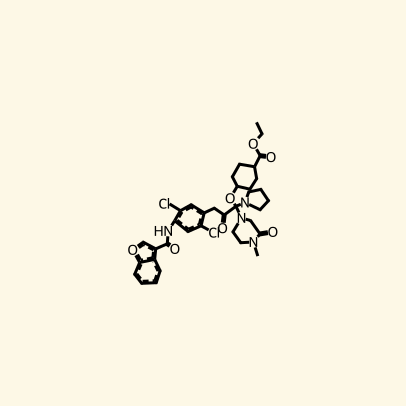 CCOC(=O)C1CCC(OC(C(=O)Cc2cc(Cl)c(NC(=O)c3coc4ccccc34)cc2Cl)(N2CCCC2)N2CCN(C)C(=O)C2)CC1